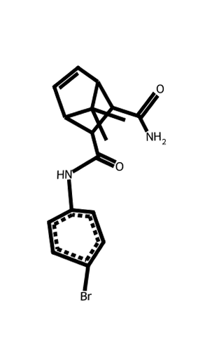 CC1(C)C2C=CC1C(C(=O)Nc1ccc(Br)cc1)C2C(N)=O